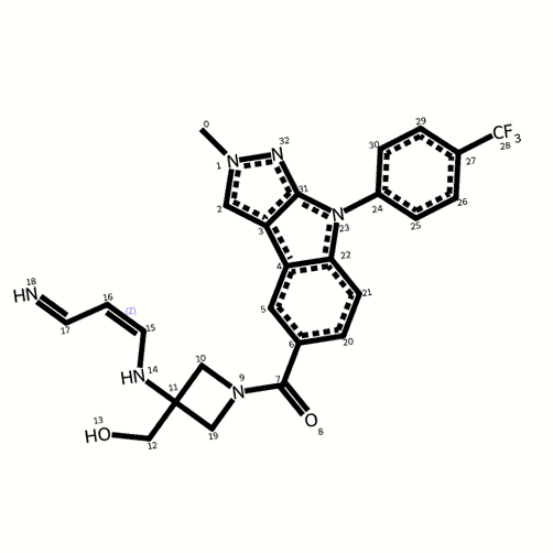 Cn1cc2c3cc(C(=O)N4CC(CO)(N/C=C\C=N)C4)ccc3n(-c3ccc(C(F)(F)F)cc3)c2n1